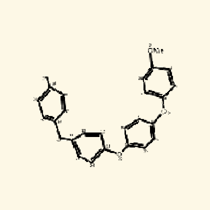 COc1ccc(Oc2ccc(Oc3ccc(Cc4ccc(C)cc4)cc3)cc2)cc1